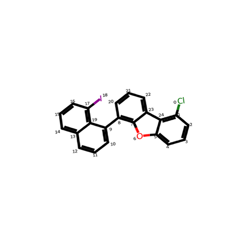 Clc1cccc2oc3c(-c4cccc5cccc(I)c45)cccc3c12